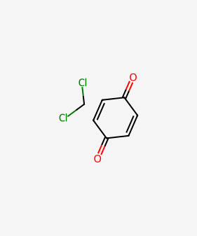 ClCCl.O=C1C=CC(=O)C=C1